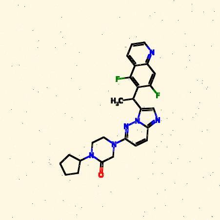 CC(c1c(F)cc2ncccc2c1F)c1cnc2ccc(N3CCN(C4CCCC4)C(=O)C3)nn12